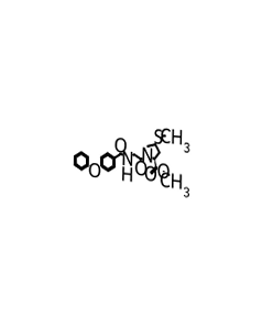 COC(=O)[C@@H]1C[C@@H](SC)CN1C(=O)CNC(=O)c1ccc(Oc2ccccc2)cc1